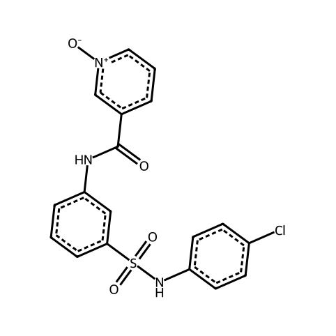 O=C(Nc1cccc(S(=O)(=O)Nc2ccc(Cl)cc2)c1)c1ccc[n+]([O-])c1